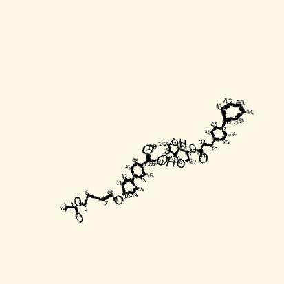 C=CC(=O)OCCCCOc1ccc(-c2ccc(C(=O)O[C@H]3CO[C@H]4[C@@H]3OC[C@H]4OC(=O)/C=C/c3ccc(-c4ccccc4)cc3)cc2)cc1